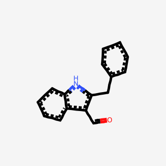 O=Cc1c(Cc2ccccc2)[nH]c2ccccc12